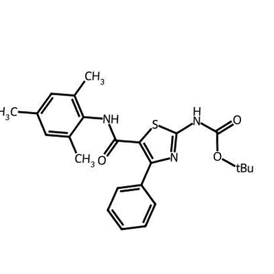 Cc1cc(C)c(NC(=O)c2sc(NC(=O)OC(C)(C)C)nc2-c2ccccc2)c(C)c1